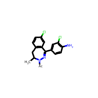 CC(=O)N1N=C(c2ccc(N)c(Cl)c2)c2cc(Cl)ccc2CC1C